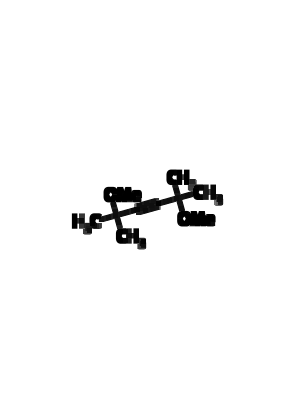 COC(C)(C)C#CC(C)(C)OC